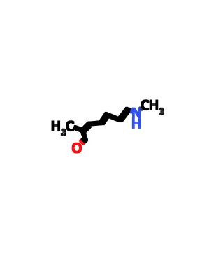 CNC=CC=CC=C(C)C=O